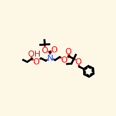 CCC(O)OCCN(CCOC(=O)C(C)(CC)OCc1ccccc1)C(=O)OC(C)(C)C